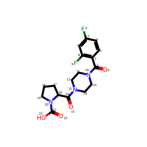 O=C(c1ccc(F)cc1F)N1CCN(C(=O)C2CCCN2C(=O)O)CC1